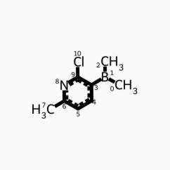 CB(C)c1ccc(C)nc1Cl